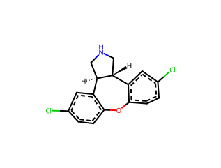 Clc1ccc2c(c1)[C@H]1CNC[C@@H]1c1cc(Cl)ccc1O2